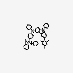 Cc1cc(C)c(-c2ccc3c(c2)c2cc(N(c4ccccc4)c4ccc(-c5nc6ccccc6n5-c5ccccc5)cc4)ccc2n3-c2ccccc2)c(C)c1